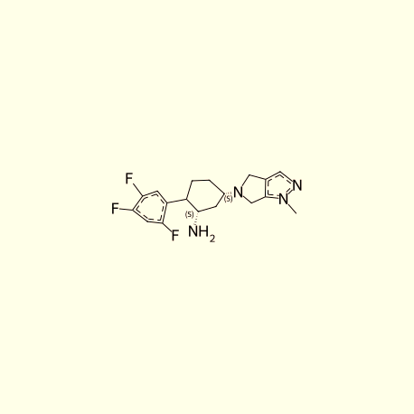 Cn1ncc2c1CN([C@H]1CCC(c3cc(F)c(F)cc3F)[C@@H](N)C1)C2